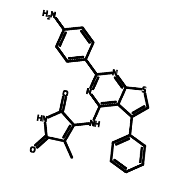 CC1=C(Nc2nc(-c3ccc(N)cc3)nc3scc(-c4ccccc4)c23)C(=O)NC1=O